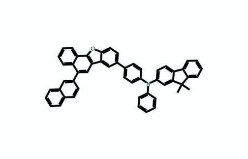 CC1(C)c2ccccc2-c2ccc(N(c3ccccc3)c3ccc(-c4ccc5oc6c7ccccc7c(-c7ccc8ccccc8c7)cc6c5c4)cc3)cc21